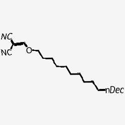 CCCCCCCCCCCCCCCCCCCCOC=C(C#N)C#N